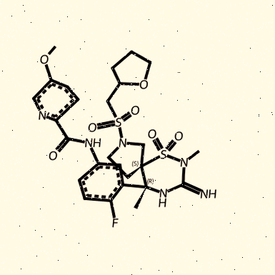 COc1ccc(C(=O)Nc2ccc(F)c([C@@]3(C)NC(=N)N(C)S(=O)(=O)[C@]34CCN(S(=O)(=O)CC3CCCO3)C4)c2)nc1